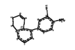 Nc1ccc(-c2cccc3c2C=CCC3)cc1F